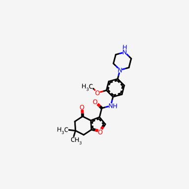 COc1cc(N2CCNCC2)ccc1NC(=O)c1coc2c1C(=O)CC(C)(C)C2